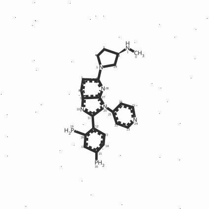 CN[C@@H]1CCN(c2ccc3nc(-c4ccc(P)cc4P)n(-c4ccncc4)c3n2)C1